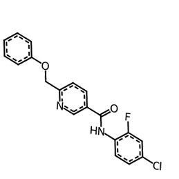 O=C(Nc1ccc(Cl)cc1F)c1ccc(COc2ccccc2)nc1